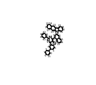 c1ccc(-c2ccc3oc4c(-c5cc(-n6c7ccccc7c7cc8ccccc8cc76)cc6ccccc56)nc(-c5ccccc5)nc4c3c2)cc1